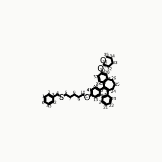 c1ccc(CSCCCCCOc2ccc(C3=C(c4ccccc4)CCCc4cc(OC5CCCCO5)ccc43)cc2)cc1